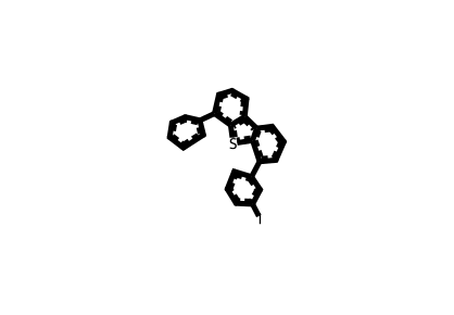 Ic1cccc(-c2cccc3c2sc2c(-c4ccccc4)cccc23)c1